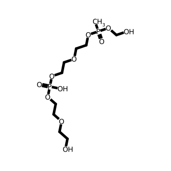 CP(=O)(OCO)OCCOCCOP(=O)(O)OCCOCCO